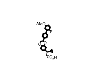 COc1ccc(F)c(-c2ccc(C3COc4ccc([C@@H](CC(=O)O)C5CC5)cc4O3)cc2)c1